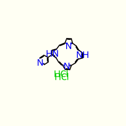 C1=Cc2cc3cc(-c4ccncc4)c(cc4nc(cc5ccc(cc1n2)[nH]5)C=C4)[nH]3.Cl.Cl